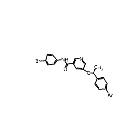 CC(=O)c1ccc([C@H](C)Oc2cncc(C(=O)Nc3ccc(Br)cc3)c2)cc1